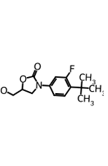 CC(C)(C)c1ccc(N2CC(CO)OC2=O)cc1F